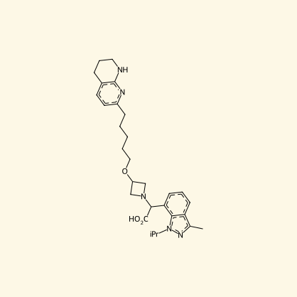 Cc1nn(C(C)C)c2c(C(C(=O)O)N3CC(OCCCCCc4ccc5c(n4)NCCC5)C3)cccc12